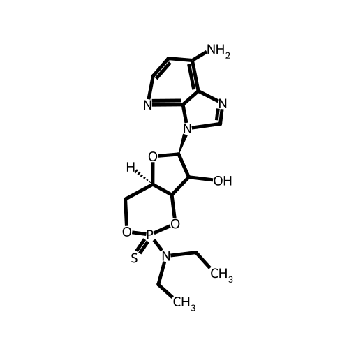 CCN(CC)P1(=S)OC[C@H]2O[C@@H](n3cnc4c(N)ccnc43)C(O)C2O1